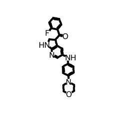 O=C(c1ccccc1F)C1CNc2ncc(Nc3ccc(N4CCOCC4)cc3)cc21